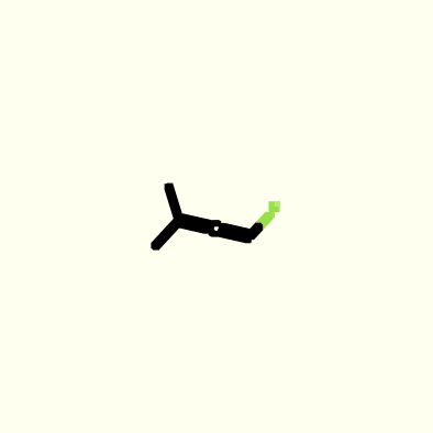 CC(C)=C=CF